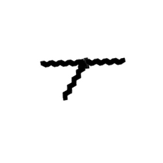 CCCCCCCC[CH2][Al]([CH2]CCCCCCCC)[CH2]CCCCCCCC